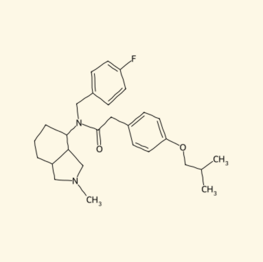 CC(C)COc1ccc(CC(=O)N(Cc2ccc(F)cc2)C2CCCC3CN(C)CC32)cc1